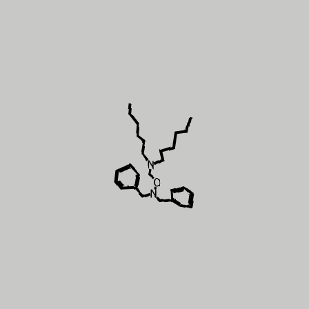 CCCCCCN(CCCCCC)CON(Cc1ccccc1)Cc1ccccc1